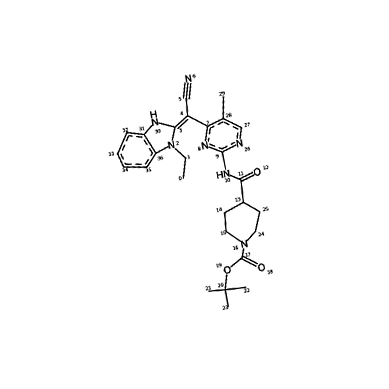 CCN1C(=C(C#N)c2nc(NC(=O)C3CCN(C(=O)OC(C)(C)C)CC3)ncc2C)Nc2ccccc21